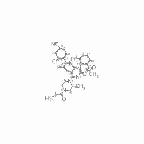 C=CC(=O)N1CCN(c2nc(=O)n(-c3c(C(C)C)cccc3S(C)(=O)=O)c3nc(-c4ccc(C#N)cc4Cl)c(F)cc23)C(C)C1